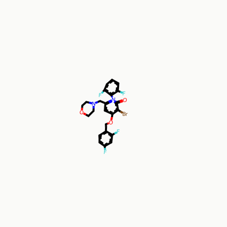 O=c1c(Br)c(OCc2ccc(F)cc2F)cc(CN2CCOCC2)n1-c1c(F)cccc1F